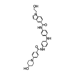 O=C(Nc1ccc(Nc2ccc(NC(=O)c3ccc4c(ccn4CCO)c3)cc2)cc1)c1ccc(N2CCC(O)CC2)cc1